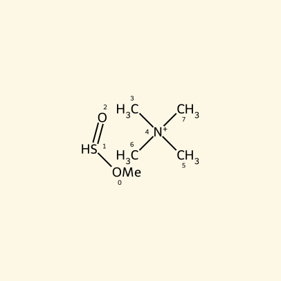 CO[SH]=O.C[N+](C)(C)C